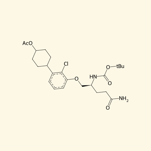 CC(=O)OC1CCC(c2cccc(OC[C@H](CCC(N)=O)NC(=O)OC(C)(C)C)c2Cl)CC1